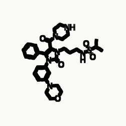 CC(C)S(=O)(=O)NCCCn1c(C(=O)N2CCNCC2)c(-c2ccccc2)n(-c2cccc(N3CCOCC3)c2)c1=O